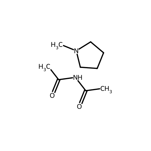 CC(=O)NC(C)=O.CN1CCCC1